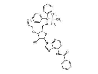 C=CCOC1C(O)[C@H](n2cnc3c(NC(=O)c4ccccc4)ncnc32)O[C@@H]1CO[Si](c1ccccc1)(c1ccccc1)C(C)(C)C